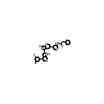 Cc1cc(F)cc(-c2cncc3[nH]c(-c4n[nH]c5ncc(-c6cncc(NC(=O)Cc7ccccc7)c6)cc45)cc23)c1